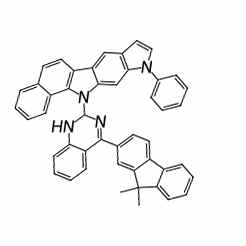 CC1(C)c2ccccc2-c2ccc(C3=NC(n4c5cc6c(ccn6-c6ccccc6)cc5c5ccc6ccccc6c54)Nc4ccccc43)cc21